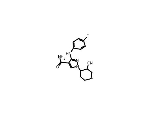 N#CC1C[CH]CCC1n1cc(C(N)=O)c(Nc2ccc(F)cc2)n1